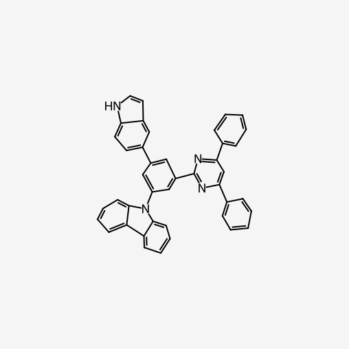 c1ccc(-c2cc(-c3ccccc3)nc(-c3cc(-c4ccc5[nH]ccc5c4)cc(-n4c5ccccc5c5ccccc54)c3)n2)cc1